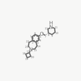 c1cc2c(cc1OC[C@H]1CCCNC1)CCN(C1CCC1)CC2